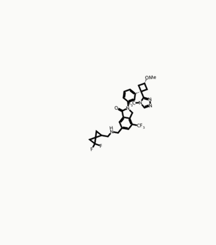 CO[C@H]1C[C@](c2cccc(N3Cc4c(cc(CNCC5CC56CC6(F)F)cc4C(F)(F)F)C3=O)c2)(c2nncn2C)C1